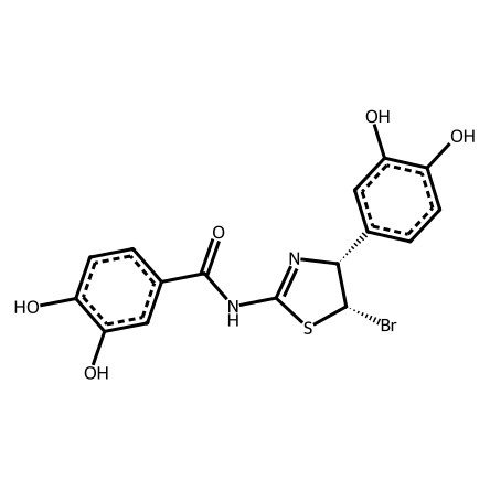 O=C(NC1=N[C@H](c2ccc(O)c(O)c2)[C@H](Br)S1)c1ccc(O)c(O)c1